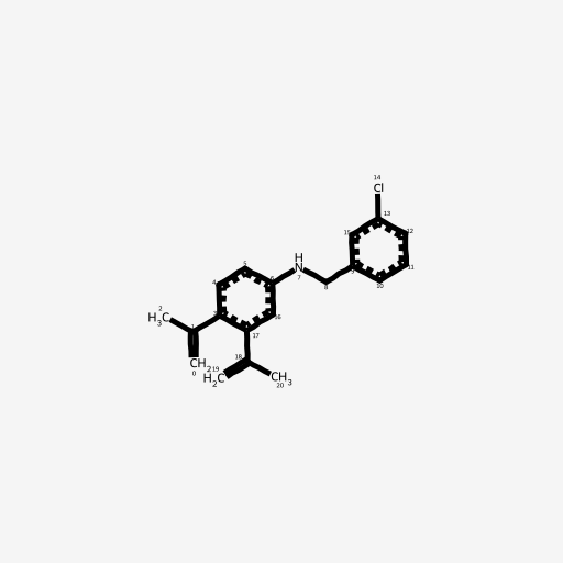 C=C(C)c1ccc(NCc2cccc(Cl)c2)cc1C(=C)C